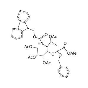 COC(=O)C1(OCc2ccccc2)CC(OC(C)=O)C(NC(=O)OCC2c3ccccc3-c3ccccc32)C([C@H](OC(C)=O)[C@@H](COC(C)=O)OC(C)=O)O1